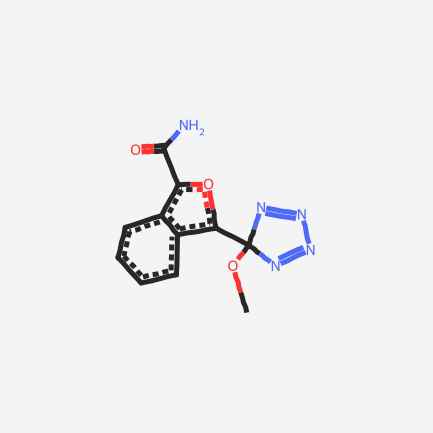 COC1(c2oc(C(N)=O)c3ccccc23)N=NN=N1